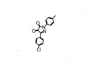 Cc1ccc(N2N=C(c3ccc(Cl)cc3)C(=O)C2=O)cc1